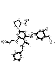 C=CCOc1nc(N2CCC[C@H]2CO)nc(NCc2ccc(OC)c(Cl)c2)c1C(=O)NCc1ncccn1